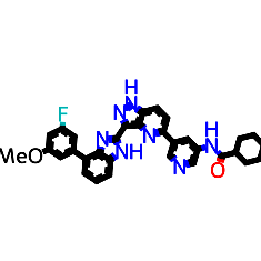 COc1cc(F)cc(-c2cccc3[nH]c(-c4n[nH]c5ccc(-c6cncc(NC(=O)C7CCCCC7)c6)nc45)nc23)c1